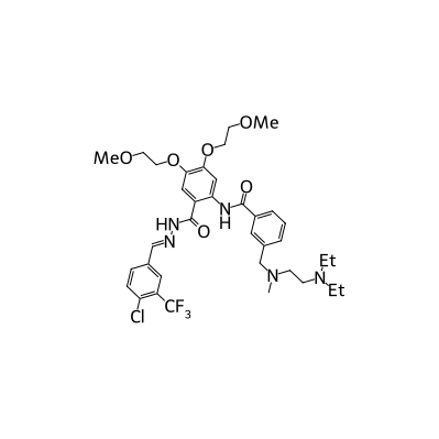 CCN(CC)CCN(C)Cc1cccc(C(=O)Nc2cc(OCCOC)c(OCCOC)cc2C(=O)N/N=C/c2ccc(Cl)c(C(F)(F)F)c2)c1